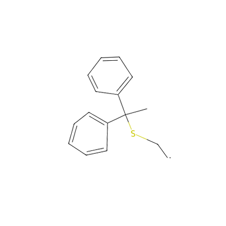 [CH2]CSC(C)(c1ccccc1)c1ccccc1